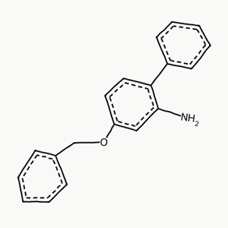 Nc1cc(OCc2ccccc2)ccc1-c1ccccc1